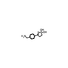 NCc1ccc(C2=NS(O)(O)CC2)cc1